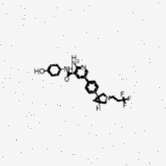 Nc1ncc(-c2ccc([C@]34C[C@H]3CN(CCC(F)(F)F)C4)cc2)cc1C(=O)N[C@H]1CC[C@H](O)CC1